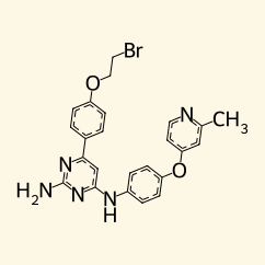 Cc1cc(Oc2ccc(Nc3cc(-c4ccc(OCCBr)cc4)nc(N)n3)cc2)ccn1